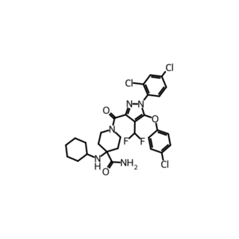 NC(=O)C1(NC2CCCCC2)CCN(C(=O)c2nn(-c3ccc(Cl)cc3Cl)c(Oc3ccc(Cl)cc3)c2C(F)F)CC1